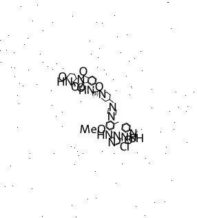 COc1cc(N2CCN(CC3CCN(C(=O)[C@H](C)Nc4cccc5c4C(=O)N(C4CCC(=O)NC4=O)C5=O)CC3)CC2)c(C)cc1Nc1ncc(Cl)c(Nc2ccccc2N(C)[SH]=O)n1